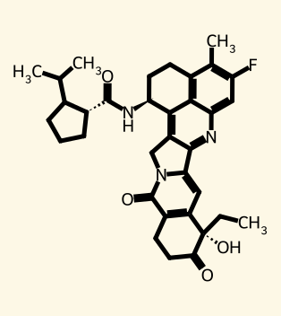 CC[C@@]1(O)C(=O)CCc2c1cc1n(c2=O)Cc2c-1nc1cc(F)c(C)c3c1c2[C@@H](NC(=O)[C@@H]1CCCC1C(C)C)CC3